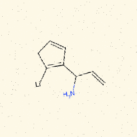 [Li][C]1=C(C(N)C=C)C=CC1